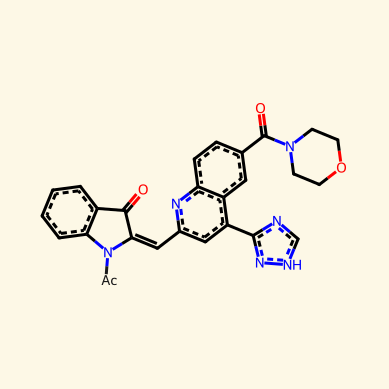 CC(=O)N1C(=Cc2cc(-c3nc[nH]n3)c3cc(C(=O)N4CCOCC4)ccc3n2)C(=O)c2ccccc21